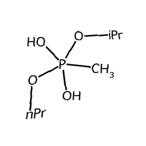 CCCOP(C)(O)(O)OC(C)C